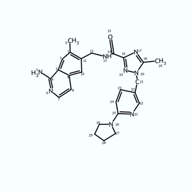 Cc1cc2c(N)nccc2cc1CNC(=O)c1nc(C)n(Cc2ccc(N3CCCC3)nc2)n1